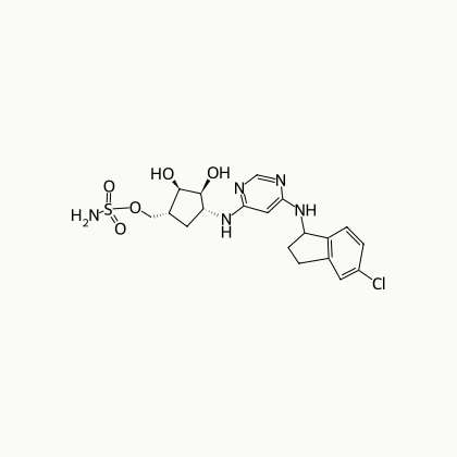 NS(=O)(=O)OC[C@H]1C[C@@H](Nc2cc(NC3CCc4cc(Cl)ccc43)ncn2)[C@H](O)[C@@H]1O